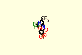 CS(=O)(=O)c1ccc(OCC(F)(F)C(F)F)c(C(=O)N2Cc3cc(C(F)(F)F)cnc3C2)c1